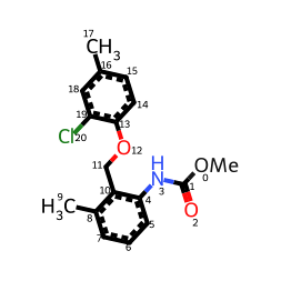 COC(=O)Nc1cccc(C)c1COc1ccc(C)cc1Cl